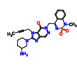 CC#CCn1c(N2CCCC(N)C2)nc2cnn(CC3=NS(=O)(=O)N(C)c4ccccc43)c(=O)c21